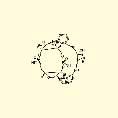 O=[P@]1(S)OC[C@H]2OC3[C@H](F)[C@@H]2O[P@](=O)(S)OC[C@H]2OC([C@H](F)[C@@H]2O1)n1cnc2c(ncnc21)NC[C@H](O)[C@@H](O)CNc1ncnc2c1ncn23